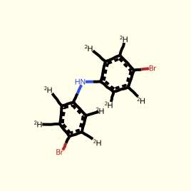 [2H]c1c([2H])c(Nc2c([2H])c([2H])c(Br)c([2H])c2[2H])c([2H])c([2H])c1Br